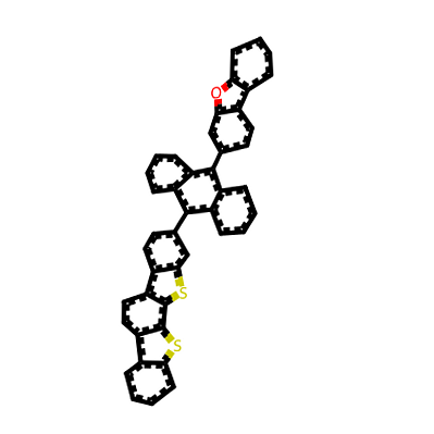 c1ccc2c(c1)oc1cc(-c3c4ccccc4c(-c4ccc5c(c4)sc4c5ccc5c6ccccc6sc54)c4ccccc34)ccc12